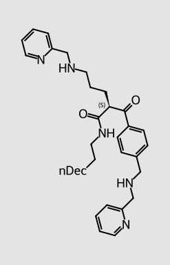 CCCCCCCCCCCCNC(=O)[C@@H](CCCNCc1ccccn1)C(=O)c1ccc(CNCc2ccccn2)cc1